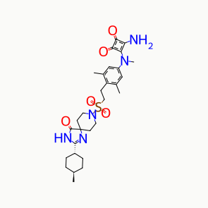 Cc1cc(N(C)c2c(N)c(=O)c2=O)cc(C)c1CCS(=O)(=O)N1CCC2(CC1)N=C([C@H]1CC[C@H](C)CC1)NC2=O